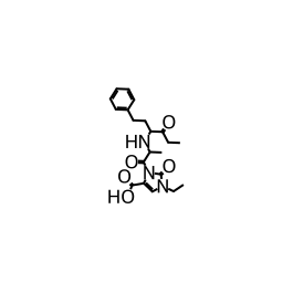 CCC(=O)C(CCc1ccccc1)NC(C)C(=O)n1c(C(=O)O)cn(CC)c1=O